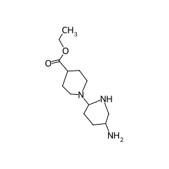 CCOC(=O)C1CCN(C2CCC(N)CN2)CC1